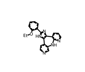 CCOc1ccccc1-c1nc2c([nH]1)-c1ccncc1Nc1ncccc1-2